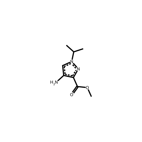 COC(=O)c1nn(C(C)C)cc1N